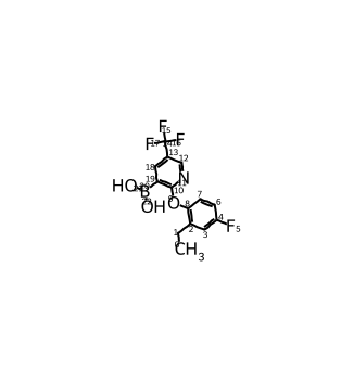 CCc1cc(F)ccc1Oc1ncc(C(F)(F)F)cc1B(O)O